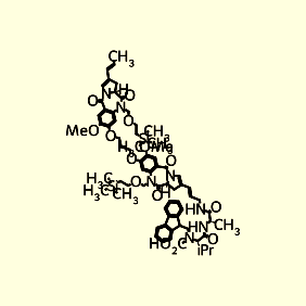 C/C=C/C1=CN2C(=O)c3cc(OC)c(OCCCOc4cc5c(cc4OC)C(=O)N4C=C(/C=C/CNC(=O)[C@H](C)NC(=O)[C@H](C(C)C)N(CC6c7ccccc7-c7ccccc76)C(=O)O)C[C@H]4C(=O)N5COCC[Si](C)(C)C)cc3N(COCC[Si](C)(C)C)C(=O)[C@@H]2C1